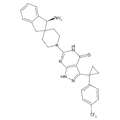 N[C@@H]1c2ccccc2CC12CCN(c1nc3[nH]nc(C4(c5ccc(C(F)(F)F)cc5)CC4)c3c(=O)[nH]1)CC2